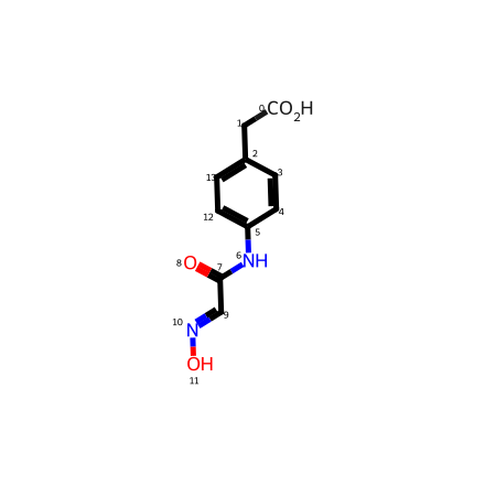 O=C(O)Cc1ccc(NC(=O)C=NO)cc1